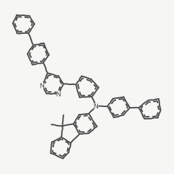 CC1(C)c2ccccc2-c2ccc(N(c3ccc(-c4ccccc4)cc3)c3cccc(-c4cc(-c5ccc(-c6ccccc6)cc5)ncn4)c3)cc21